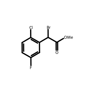 COC(=O)C(Br)c1cc(F)ccc1Cl